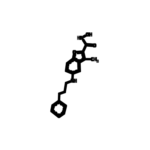 Cc1c(C(=O)NO)oc2ccc(NCCCc3ccccc3)cc12